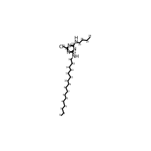 CCCCCCCCCCCCCCCCCNc1nc(Cl)nc(NCCCC)n1